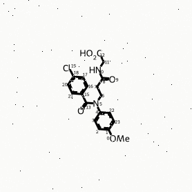 COc1ccc(N(CCC(=O)NCC(=O)O)C(=O)c2ccc(Cl)cc2)cc1